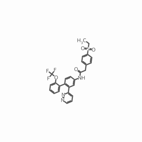 CCS(=O)(=O)c1ccc(CC(=O)Nc2ccc(-c3ccccc3OC(F)(F)F)c(-c3cccnn3)c2)cc1